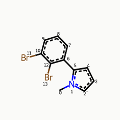 Cn1[c]ccc1-c1cccc(Br)c1Br